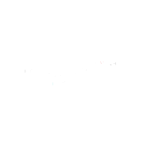 CCCCC(F)=C(F)c1ccc(C#Cc2ccc(OCC)cc2)cc1